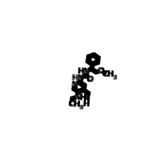 CCNc1cnc(NC(=O)NC(COC)c2ccccc2)cc1C=N